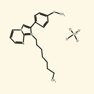 CCCCCCCC[n+]1c(-c2ccc(SC)cc2)cn2cccnc21.[O-][Cl+3]([O-])([O-])[O-]